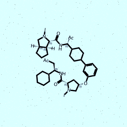 CC(=O)C[C@@H](NC(=O)[C@@H]1C[C@H](Oc2cccc(C3CCC([C@H](NC(=O)[C@@H]4[C@H]5CCC[C@H]5CN4I)C(C)=O)CC3)c2)CN1I)C1CCCCC1